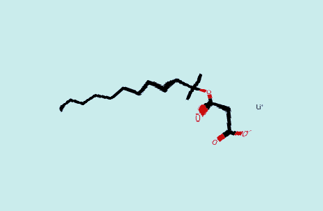 CCCCCCCCCCC(C)(C)OC(=O)CC(=O)[O-].[Li+]